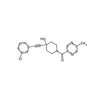 Cc1cnc(C(=O)N2CCC(O)(C#Cc3cccc(Cl)c3)CC2)cn1